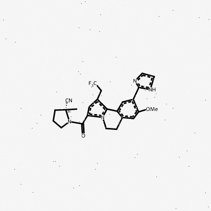 COc1cc2c(cc1-c1ncc[nH]1)-c1c(CC(F)(F)F)cc(C(=O)N3CCC[C@]3(C)C#N)n1CC2